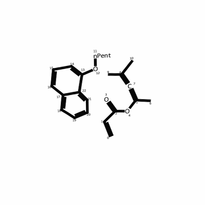 C=CC(=O)OC(C)=C=C(C)C.CCCCCOc1cccc2ccccc12